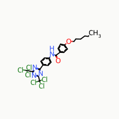 CCCCCCOc1ccc(C(=O)Nc2ccc(-c3nc(C(Cl)(Cl)Cl)nc(C(Cl)(Cl)Cl)n3)cc2)cc1